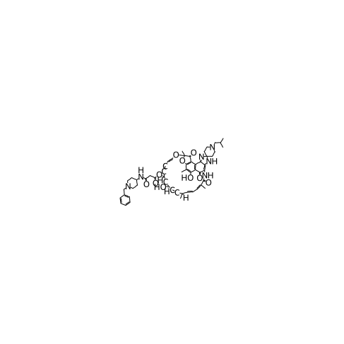 C/C1=C/C=C/[C@H](C)CC[C@@H](O)C[C@H](OC(=O)CC(=O)NC2CCN(Cc3ccccc3)CC2)CC/C=C/OC2(C)Oc3c(C)c(O)c4c(c3C2=O)C2=NC3(CCN(CC(C)C)CC3)NC2=C(NC1=O)C4=O